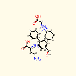 NC1CCCCC1.NCC(=O)O.NCC[C@H](N)C(=O)O.O=Cc1ccc(-c2ccccc2)cc1